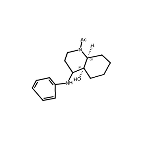 CC(=O)N1CCC(Nc2ccccc2)[C@]2(O)CCCC[C@H]12